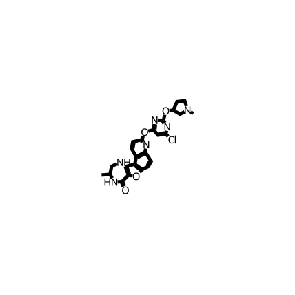 CC1CNc2c(oc3ccc4nc(Oc5cc(Cl)nc(OC6CCN(C)C6)n5)ccc4c23)C(=O)N1